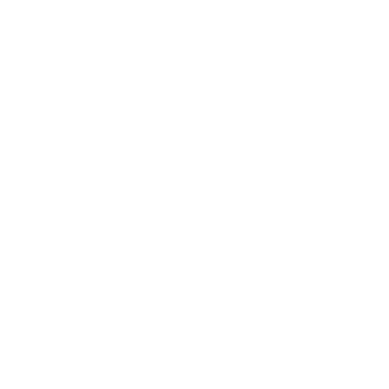 CC1CC=c2ccc3c(c2C1)CC=c1ccccc1=3